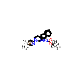 C=C(S)/C=N\C(=C/C)N1CCC2(CC1)Cc1ccccc1[C@H]2NC(=O)OC(C)(C)C